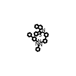 c1ccc(-c2ccc(-c3nc(-c4ccccc4)nc(-c4cccc(-c5cccc(-c6nc7ccc8ccccc8c7c7c6sc6ccccc67)c5)c4)n3)cc2)cc1